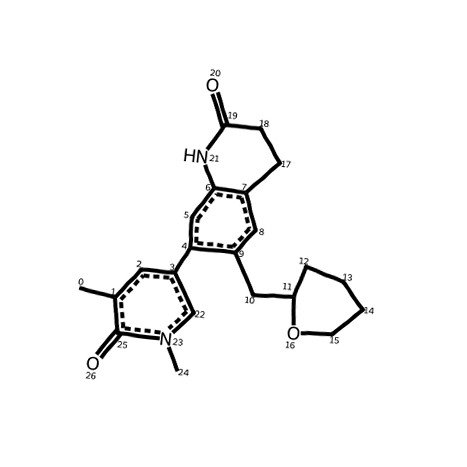 Cc1cc(-c2cc3c(cc2CC2CCCCO2)CCC(=O)N3)cn(C)c1=O